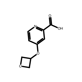 O=C(O)c1cc(OC2COC2)ccn1